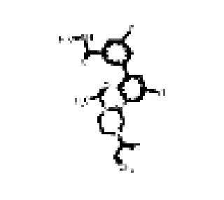 C=CC(=O)N1CCN(C(C)=O)[C@H](c2cc(Cl)cc(-c3cc(F)cc(C(=O)NC)c3)c2)C1